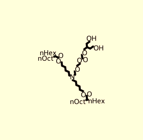 CCCCCCCCC(CCCCCC)C(=O)OCCCCCCN(CCCCCCOC(=O)C(CCCCCC)CCCCCCCC)CCOCCOC(=O)COCC(CCO)CCO